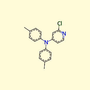 Cc1ccc(N(c2ccc(C)cc2)c2ccnc(Cl)c2)cc1